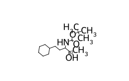 C[C@H](O)C(CCC1CCCCC1)NC(=O)OC(C)(C)C